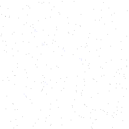 N/C(=N/O)c1cccc(CC(NS(=O)(=O)c2cccc(NC(=O)c3cccnc3)c2)c2nc3ccccc3s2)c1